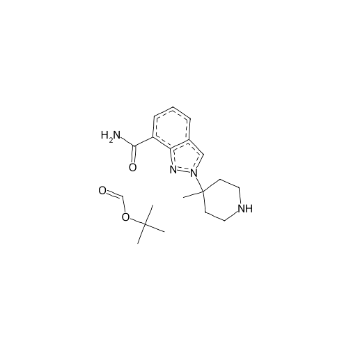 CC(C)(C)OC=O.CC1(n2cc3cccc(C(N)=O)c3n2)CCNCC1